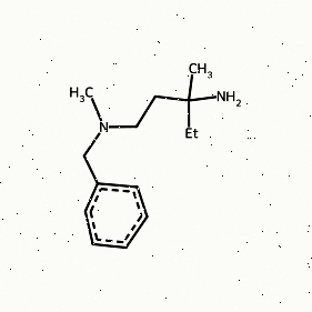 CCC(C)(N)CCN(C)Cc1ccccc1